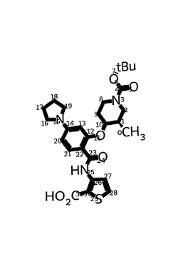 C[C@@H]1CN(C(=O)OC(C)(C)C)CCC1Oc1cc(N2CCCC2)ccc1C(=O)Nc1ccsc1C(=O)O